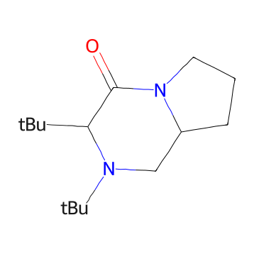 CC(C)(C)C1C(=O)N2CCCC2CN1C(C)(C)C